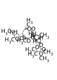 CCOC1C(C)C(C)OC(O[C@H]2C[C@H]3[C@@H]4C=C5C(=O)[C@H](C)[C@@H](OC6CCC(CNC)C(C)O6)CCC[C@H](CC)OC(=O)C[C@H]5[C@@H]4C=C(C)[C@@H]3C2)C1OC